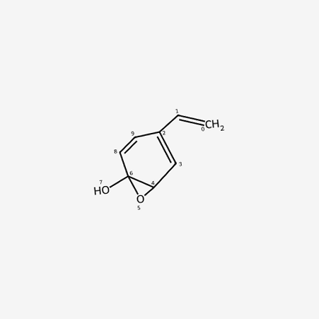 C=CC1=CC2OC2(O)C=C1